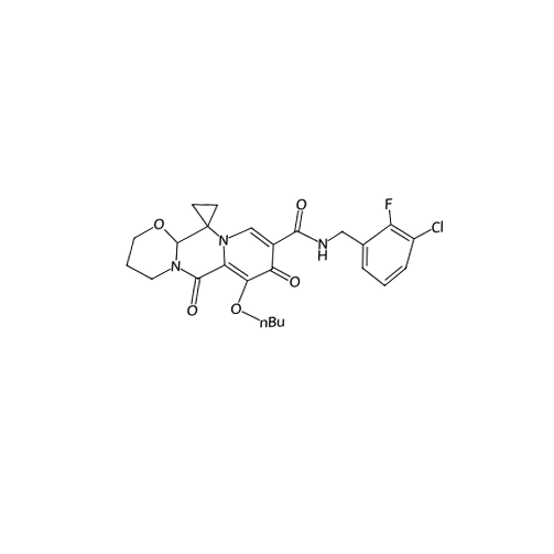 CCCCOc1c2n(cc(C(=O)NCc3cccc(Cl)c3F)c1=O)C1(CC1)C1OCCCN1C2=O